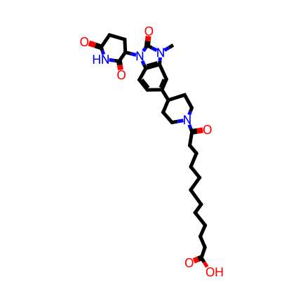 Cn1c(=O)n(C2CCC(=O)NC2=O)c2ccc(C3CCN(C(=O)CCCCCCCCCCC(=O)O)CC3)cc21